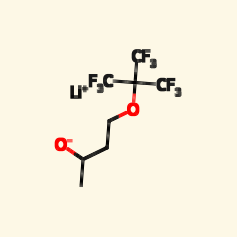 CC([O-])CCOC(C(F)(F)F)(C(F)(F)F)C(F)(F)F.[Li+]